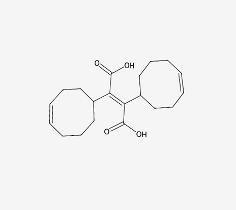 O=C(O)C(=C(C(=O)O)C1CCC=CCCC1)C1CCC=CCCC1